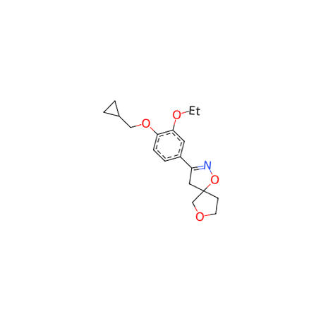 CCOc1cc(C2=NOC3(CCOC3)C2)ccc1OCC1CC1